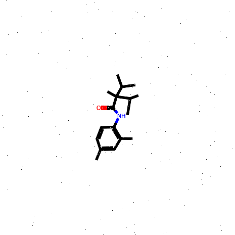 Cc1ccc(NC(=O)C(C)(C(C)C)C(C)C)c(C)c1